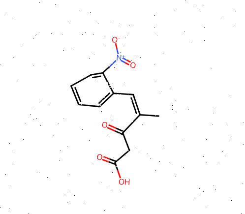 CC(=Cc1ccccc1[N+](=O)[O-])C(=O)CC(=O)O